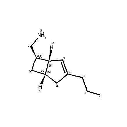 CCCC1=C[C@H]2[C@H](CN)C[C@H]2C1